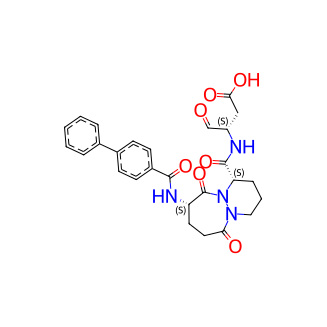 O=C[C@H](CC(=O)O)NC(=O)[C@@H]1CCCN2C(=O)CC[C@H](NC(=O)c3ccc(-c4ccccc4)cc3)C(=O)N12